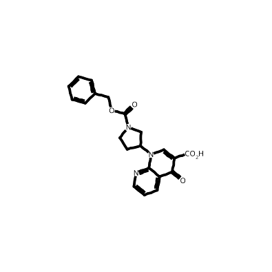 O=C(O)c1cn(C2CCN(C(=O)OCc3ccccc3)C2)c2ncccc2c1=O